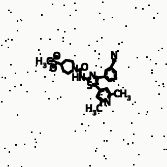 Cc1cc(-c2sc(NC(=O)N3CCC(S(C)(=O)=O)CC3)nc2-c2cccc(C#N)c2)cc(C)n1